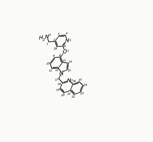 NCc1ccnc(Oc2cccc3c2ccn3Cc2ccc3ccccc3n2)c1